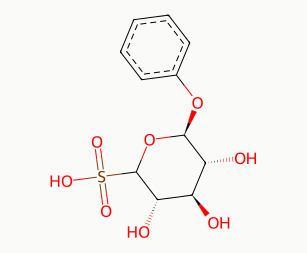 O=S(=O)(O)C1O[C@@H](Oc2ccccc2)[C@H](O)[C@@H](O)[C@@H]1O